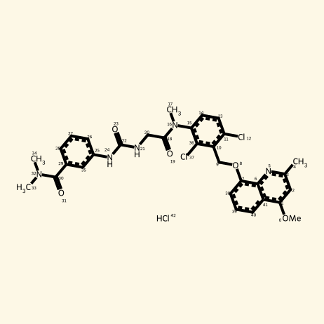 COc1cc(C)nc2c(OCc3c(Cl)ccc(N(C)C(=O)CNC(=O)Nc4cccc(C(=O)N(C)C)c4)c3Cl)cccc12.Cl